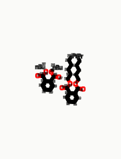 CC(C)CCCCCOC(=O)c1ccccc1C(=O)OCCCCCC(C)C.CCCCOC(=O)c1ccccc1C(=O)OCCCC